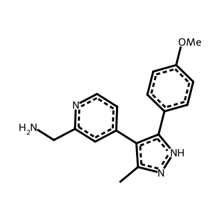 COc1ccc(-c2[nH]nc(C)c2-c2ccnc(CN)c2)cc1